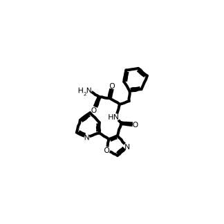 NC(=O)C(=O)C(Cc1ccccc1)NC(=O)c1ncoc1-c1ccccn1